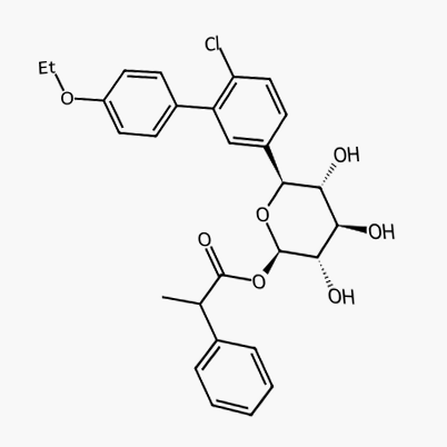 CCOc1ccc(-c2cc([C@@H]3O[C@H](OC(=O)C(C)c4ccccc4)[C@@H](O)[C@H](O)[C@H]3O)ccc2Cl)cc1